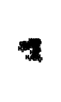 C/C=N\N(C)c1cc(Nc2nc(/N=C3/C(NC(=O)OC(C)(C)C)CCC[C@@H]3OCc3ccccc3)c(F)cc2C(N)=O)cnc1C